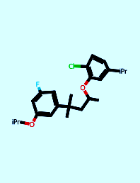 CC(C)Oc1cc(F)cc(C(C)(C)CC(C)Oc2cc(C(C)C)ccc2Cl)c1